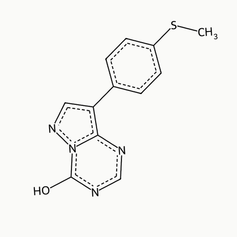 CSc1ccc(-c2cnn3c(O)ncnc23)cc1